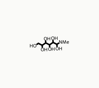 CNC(O)C(O)C(O)C(O)C(O)CO